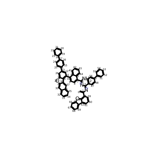 C=C(/N=C(\N=C(/N)c1ccc(-c2cc(-c3ccc(-c4ccccc4)cc3)cc3oc4cc5ccccc5cc4c23)c2ccccc12)c1ccc(-c2ccccc2)cc1)c1cccc2c1oc1ccccc12